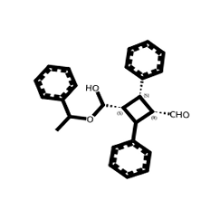 CC(OC(O)[C@H]1C(c2ccccc2)[C@@H](C=O)[C@H]1c1ccccc1)c1ccccc1